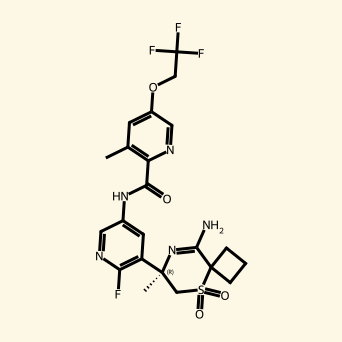 Cc1cc(OCC(F)(F)F)cnc1C(=O)Nc1cnc(F)c([C@]2(C)CS(=O)(=O)C3(CCC3)C(N)=N2)c1